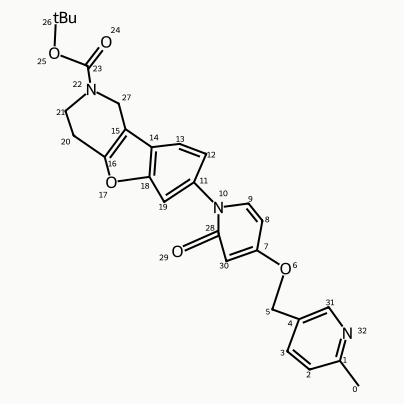 Cc1ccc(COc2ccn(-c3ccc4c5c(oc4c3)CCN(C(=O)OC(C)(C)C)C5)c(=O)c2)cn1